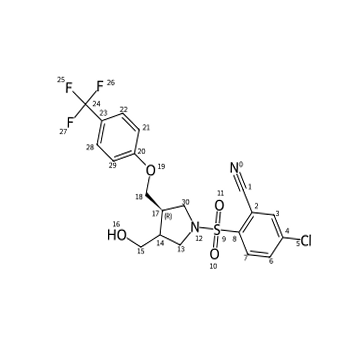 N#Cc1cc(Cl)ccc1S(=O)(=O)N1CC(CO)[C@@H](COc2ccc(C(F)(F)F)cc2)C1